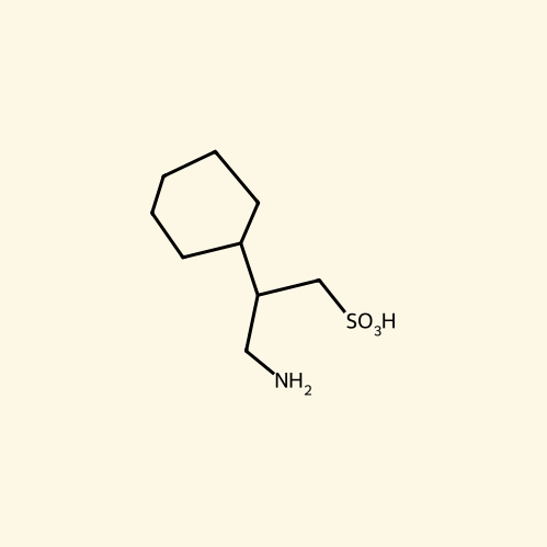 NCC(CS(=O)(=O)O)C1CCCCC1